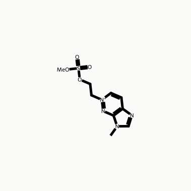 COS(=O)(=O)OCC[n+]1ccc2ncn(C)c2n1